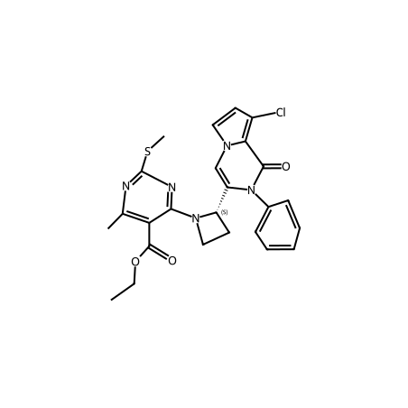 CCOC(=O)c1c(C)nc(SC)nc1N1CC[C@H]1c1cn2ccc(Cl)c2c(=O)n1-c1ccccc1